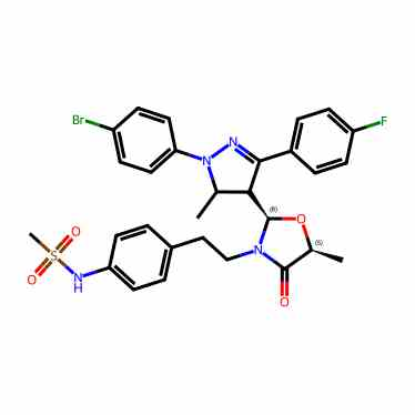 CC1C([C@H]2O[C@@H](C)C(=O)N2CCc2ccc(NS(C)(=O)=O)cc2)C(c2ccc(F)cc2)=NN1c1ccc(Br)cc1